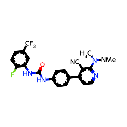 CNN(C)c1nccc(-c2ccc(NC(=O)Nc3cc(C(F)(F)F)ccc3F)cc2)c1C#N